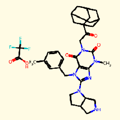 Cn1c(=O)n(CC(=O)C23CC4CC(CC(C4)C2)C3)c(=O)c2c1nc(N1CCC3CNCC31)n2Cc1cccc(C(F)(F)F)c1.O=C(O)C(F)(F)F